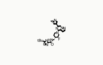 Cn1cc(-c2cn3nccc3c(N3CC[C@@H](CNC(=O)c4noc(C(C)(C)C)n4)[C@@H](F)C3)n2)cn1